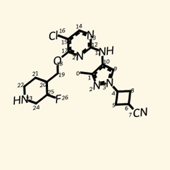 Cc1nn(C2CC(C#N)C2)cc1Nc1ncc(Cl)c(OCC2CCNCC2F)n1